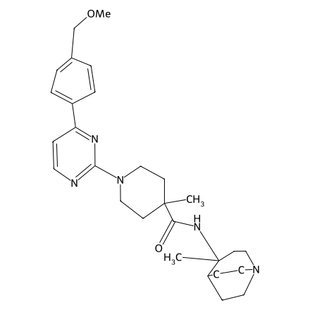 COCc1ccc(-c2ccnc(N3CCC(C)(C(=O)NC4(C)CCN5CCC4CC5)CC3)n2)cc1